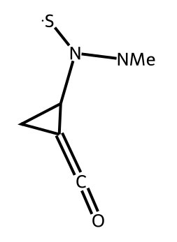 CNN([S])C1CC1=C=O